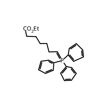 CCOC(=O)CCCCCC=P(c1ccccc1)(c1ccccc1)c1ccccc1